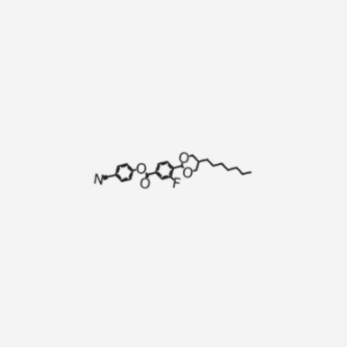 CCCCCCCC1COC(c2ccc(C(=O)Oc3ccc(C#N)cc3)cc2F)OC1